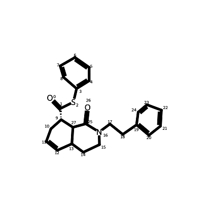 O=C(Sc1ccccc1)[C@H]1CC=CC2CCN(CCc3ccccc3)C(=O)C21